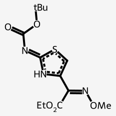 CCOC(=O)C(=NOC)c1csc(=NC(=O)OC(C)(C)C)[nH]1